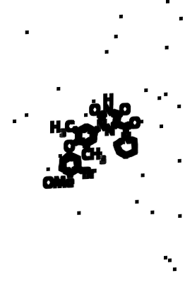 COc1ccc(Oc2c(C)cc(-n3nc(C(=O)N4CCCCC4)c(=O)[nH]c3=O)cc2C)cc1Br